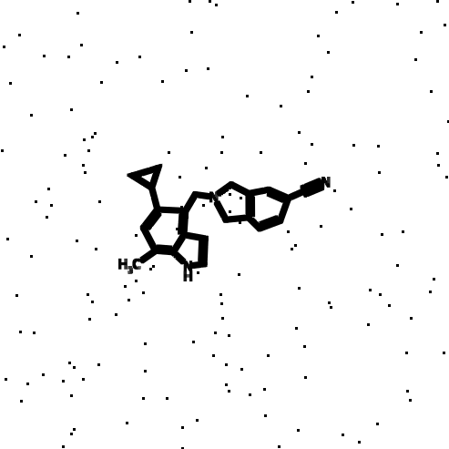 Cc1cc(C2CC2)c(CN2Cc3ccc(C#N)cc3C2)c2cc[nH]c12